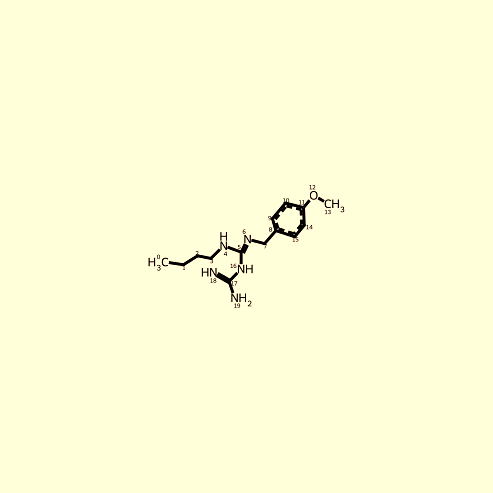 CCCCNC(=NCc1ccc(OC)cc1)NC(=N)N